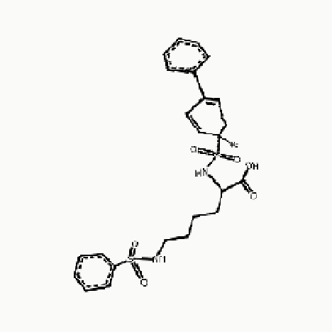 O=C(O)C(CCCCNS(=O)(=O)c1ccccc1)NS(=O)(=O)C1(Br)C=CC(c2ccccc2)=CC1